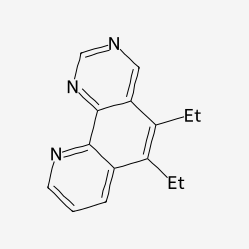 CCc1c(CC)c2cncnc2c2ncccc12